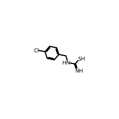 N=C(S)NCc1ccc(Cl)cc1